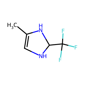 CC1=CNC(C(F)(F)F)N1